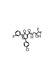 O=C(NC[C@@H](O)C(F)F)c1cc(-c2ccc(Cl)cc2)nn(-c2cccc(F)c2)c1=O